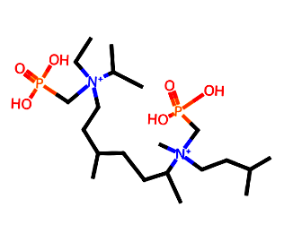 CC[N+](CCC(C)CCC(C)[N+](C)(CCC(C)C)CP(=O)(O)O)(CP(=O)(O)O)C(C)C